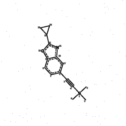 C[Si](C)(C)C#Cc1ccc2oc(C3CC3)nc2c1